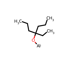 CCCC(CC)(CCC)[O][Al]